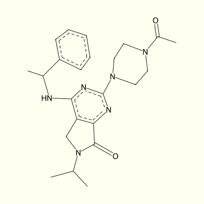 CC(=O)N1CCN(c2nc(NC(C)c3ccccc3)c3c(n2)C(=O)N(C(C)C)C3)CC1